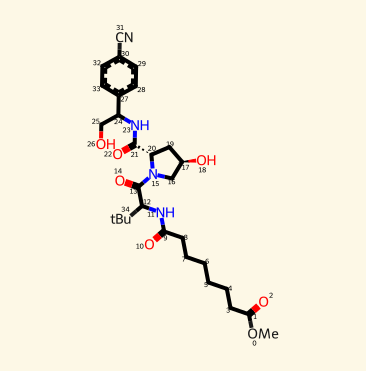 COC(=O)CCCCCCC(=O)NC(C(=O)N1C[C@H](O)C[C@H]1C(=O)NC(CO)c1ccc(C#N)cc1)C(C)(C)C